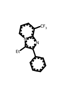 CCc1c(-c2ccccc2)nc2c(C(F)(F)F)cccn12